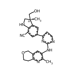 Cc1nc2c(cc1Nc1nccc(-c3cc(C#N)c4c(c3)[C@@](C)(CO)CN4)n1)COCC2